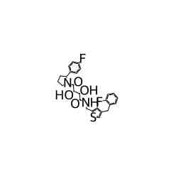 O=C(NCc1cc(Cc2ccccc2F)cs1)[C@H](O)[C@@H](O)C(=O)N1CCCC1c1ccc(F)cc1